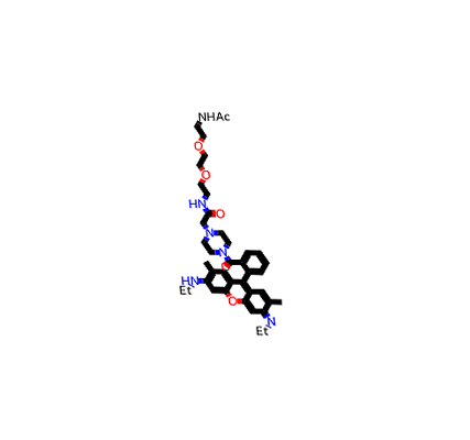 CC/N=c1\cc2oc3cc(NCC)c(C)cc3c(-c3ccccc3C(=O)N3CCN(CC(=O)NCCOCCOCCNC(C)=O)CC3)c-2cc1C